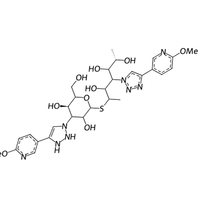 COc1ccc(C2=CN(C3C(O)C(SC(C)C(O)C(C(O)[C@H](C)O)n4cc(-c5ccc(OC)nc5)nn4)OC(CO)[C@@H]3O)NN2)cn1